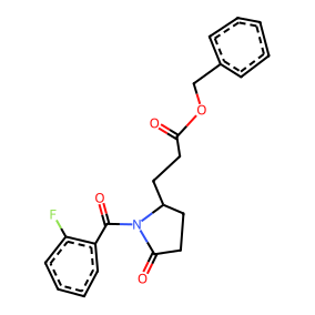 O=C(CCC1CCC(=O)N1C(=O)c1ccccc1F)OCc1ccccc1